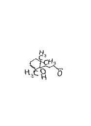 CC1=CCCC(C)(C)C1(O)CCCC1CO1